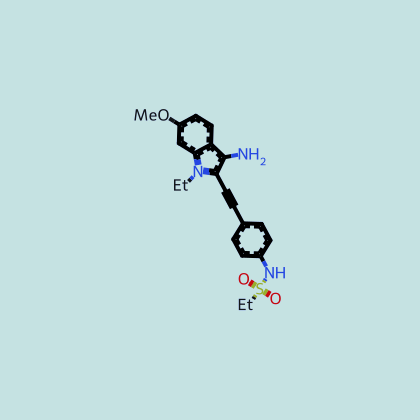 CCn1c(C#Cc2ccc(NS(=O)(=O)CC)cc2)c(N)c2ccc(OC)cc21